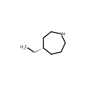 CC[C@H]1CCCNCC1